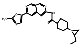 Cc1ncc(-c2cc3cc(NC(=O)C4CCC(N5CC5CF)CC4)ncc3cn2)o1